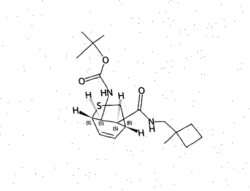 CC1(CNC(=O)[C@@H]2[C@H](NC(=O)OC(C)(C)C)[C@@H]3C=C[C@H]2CS3)CCC1